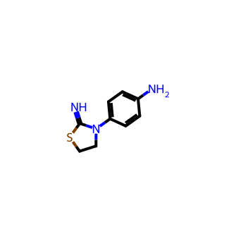 N=C1SCCN1c1ccc(N)cc1